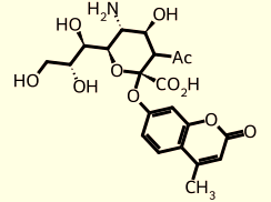 CC(=O)C1[C@H](O)[C@@H](N)[C@H]([C@H](O)[C@H](O)CO)O[C@]1(Oc1ccc2c(C)cc(=O)oc2c1)C(=O)O